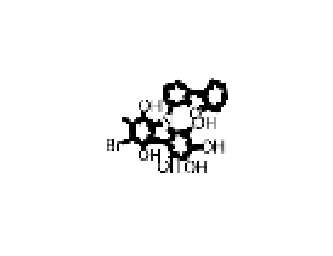 Cc1c(Br)c(O)c2c3c(O)c(O)c(O)c(O)c3n(-c3cccc4c3oc3ccccc34)c2c1O